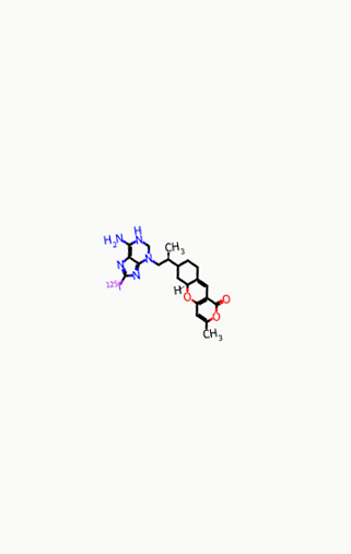 Cc1cc2c(c(=O)o1)C=C1CCC([C@H](C)CN3CNC(N)=C4N=C([125I])N=C43)C[C@@H]1O2